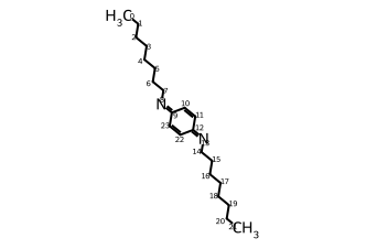 CCCCCCCCN=C1C=CC(=NCCCCCCCC)C=C1